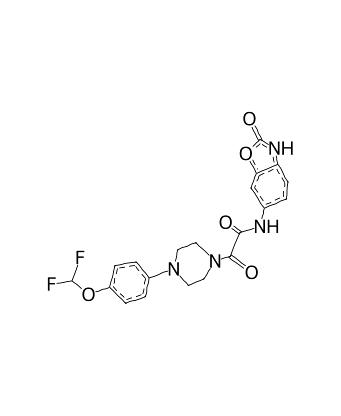 O=C(Nc1ccc2[nH]c(=O)oc2c1)C(=O)N1CCN(c2ccc(OC(F)F)cc2)CC1